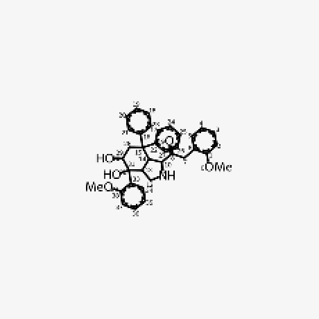 COc1ccccc1CC(=O)C1NCC2C1C(c1ccccc1)(c1ccccc1)CC(O)C2(O)c1ccccc1OC